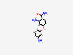 NC(=O)c1ccc(Oc2cccc(N)c2)cc1N